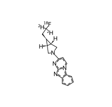 [2H]C([2H])([18F])C[C@H]1[C@@H]2CN(c3ccn4c(n3)nc3ccccc34)C[C@@H]21